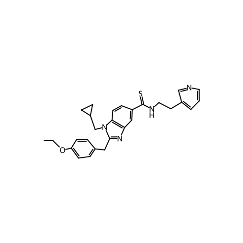 CCOc1ccc(Cc2nc3cc(C(=S)NCCc4cccnc4)ccc3n2CC2CC2)cc1